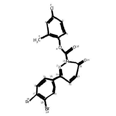 Cc1cc(Cl)ccc1OC(=O)n1nc(-c2ccc(Br)c(Br)c2)ccc1=O